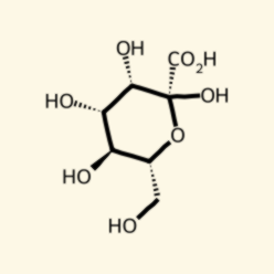 O=C(O)[C@]1(O)O[C@H](CO)[C@@H](O)[C@H](O)[C@@H]1O